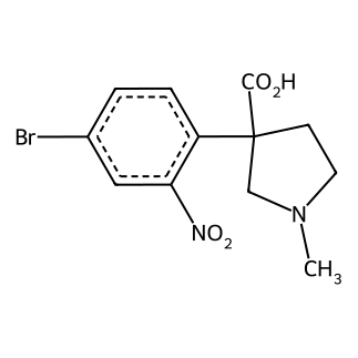 CN1CCC(C(=O)O)(c2ccc(Br)cc2[N+](=O)[O-])C1